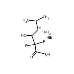 Br.CC(C)[C@H](N)C(O)C(F)(F)C(=O)O